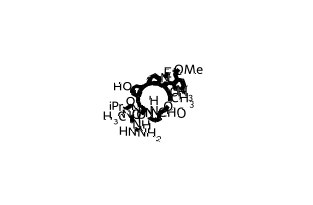 CCn1c(-c2cnccc2COC)c2c3cc(ccc31)-c1cc(O)cc(c1)C[C@H](NC(=O)[C@H](C(C)C)N(C)C(=O)CNC(=N)N)C(=O)N1CCCC(C=O)(COCC(C)(C)C2)N1